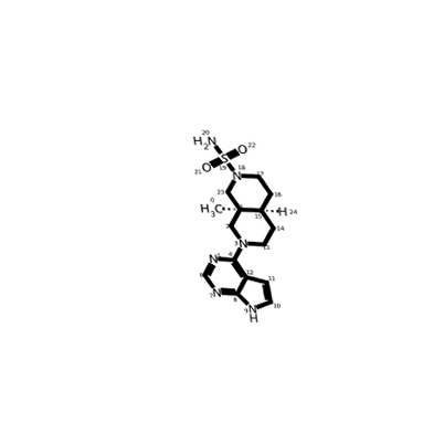 C[C@@]12CN(c3ncnc4[nH]ccc34)CC[C@@H]1CCN(S(N)(=O)=O)C2